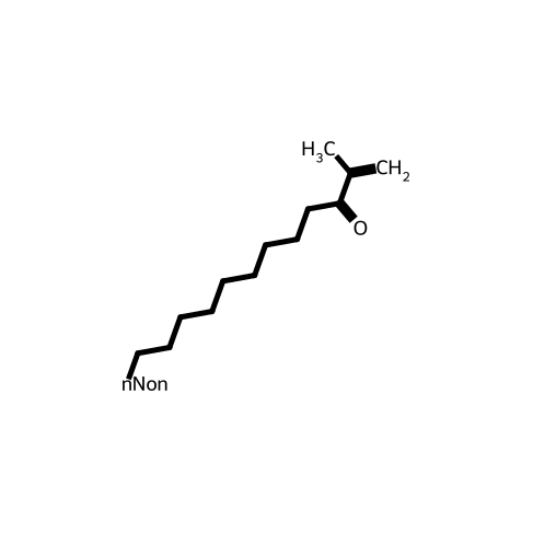 [CH2]CCCCCCCCCCCCCCCCCC(=O)C(=C)C